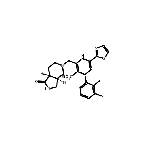 CCOC(=O)C1=C(CN2CC[C@H]3C(=O)NC[C@@H]3C2)NC(c2nccs2)=N[C@H]1c1cccc(F)c1C